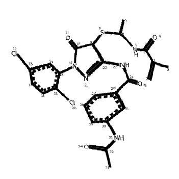 C=C(C)C(=O)NC(C)SC1C(=O)N(c2cc(Cl)ccc2Cl)N=C1NC(=O)c1cccc(NC(C)=O)c1